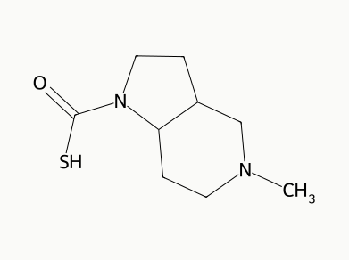 CN1CCC2C(CCN2C(=O)S)C1